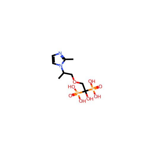 Cc1nccn1C(C)COCC(O)(P(=O)(O)O)P(=O)(O)O